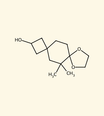 CC1(C)CC2(CCC13OCCO3)CC(O)C2